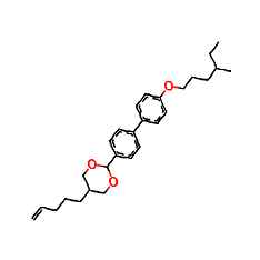 C=CCCCC1COC(c2ccc(-c3ccc(OCCCC(C)CC)cc3)cc2)OC1